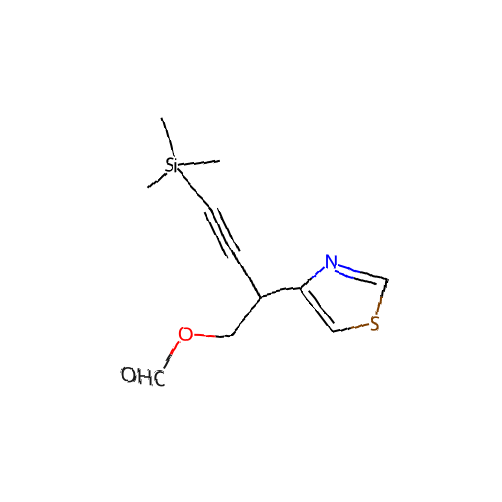 C[Si](C)(C)C#CC(COC=O)c1cscn1